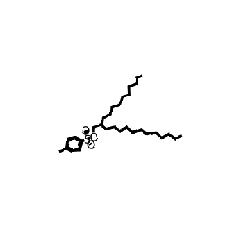 CCCCCCCCCCCCC(CCCCCCCCCC)COS(=O)(=O)c1ccc(C)cc1